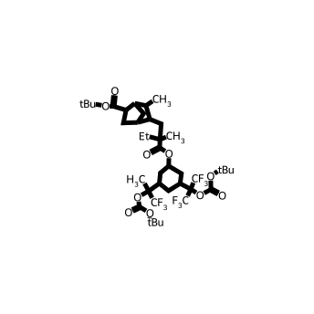 CCC(C)(CC1C2CC(C(=O)OC(C)(C)C)C(C2)C1C)C(=O)OC1CC(C(C)(OC(=O)OC(C)(C)C)C(F)(F)F)CC(C(OC(=O)OC(C)(C)C)(C(F)(F)F)C(F)(F)F)C1